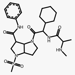 CNC(C)C(=O)NC(C(=O)N1CCC2C1C(C(=O)Nc1ccccc1)CN2S(C)(=O)=O)C1CCCCC1